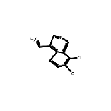 C=Cc1cncc2c(Cl)c(Cl)ccc12